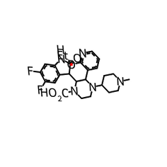 CCOc1ncccc1C1C(C2C(=O)Nc3cc(F)c(F)cc32)N(C(=O)O)CCN1C1CCN(C)CC1